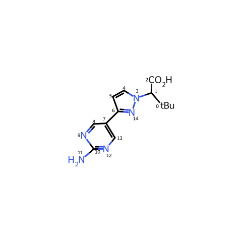 CC(C)(C)C(C(=O)O)n1ccc(-c2cnc(N)nc2)n1